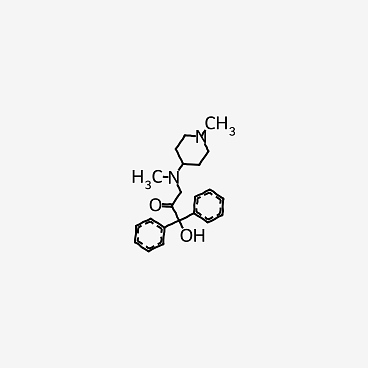 CN1CCC(N(C)CC(=O)C(O)(c2ccccc2)c2ccccc2)CC1